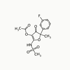 CC(=O)OC1=C(NS(C)(=O)=O)OC(C)(c2cccc(F)c2)C1=O